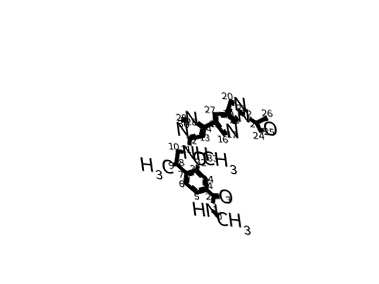 CNC(=O)c1ccc(C(C)CNc2cc(-c3cnc4c(cnn4C4COC4)c3)ncn2)c(OC)c1